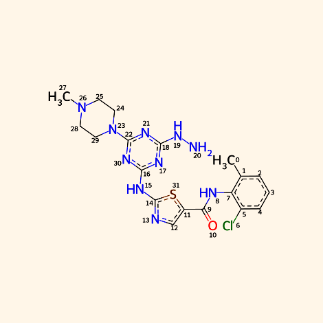 Cc1cccc(Cl)c1NC(=O)c1cnc(Nc2nc(NN)nc(N3CCN(C)CC3)n2)s1